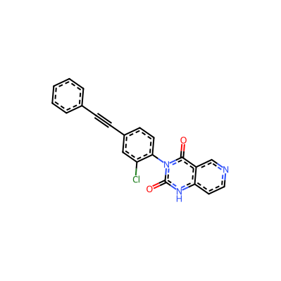 O=c1[nH]c2ccncc2c(=O)n1-c1ccc(C#Cc2ccccc2)cc1Cl